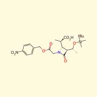 C[C@@H](O[Si](C)(C)C(C)(C)C)[C@H]1C(=O)N(CC(=O)OCc2ccc([N+](=O)[O-])cc2)[C@@H]1[C@@H](C)C(=O)O